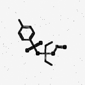 CCC(CC)(OP=O)OS(=O)(=O)c1ccc(C)cc1